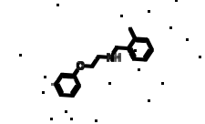 Cc1ccccc1CNCCOc1c[c]ccc1